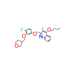 CCCCOc1c(C)c(COc2ccc(F)c(OCC3CCOCC3)c2)nc2ccccc12